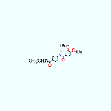 CN(O)C(=O)c1ccc(NC(=O)c2ccc(OC(C)(C)C)c(OC(C)(C)C)c2)cc1